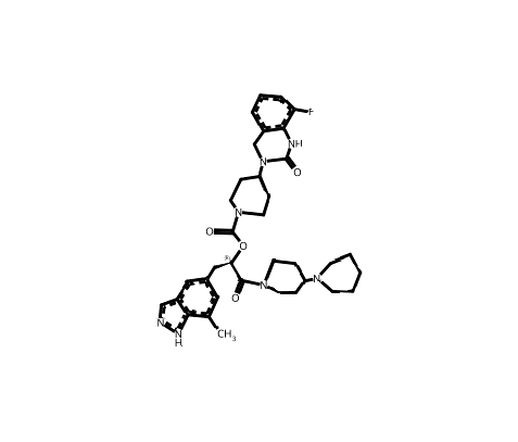 Cc1cc(C[C@@H](OC(=O)N2CCC(N3Cc4cccc(F)c4NC3=O)CC2)C(=O)N2CCC(N3CCCCC3)CC2)cc2cn[nH]c12